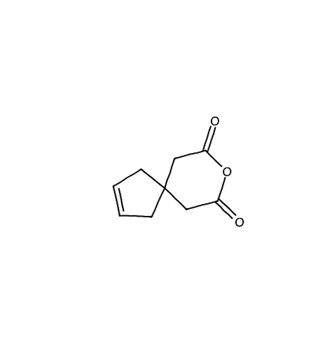 O=C1CC2(CC=CC2)CC(=O)O1